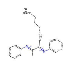 CCCCCCCCCCCCCC#CC(=N\c1ccccc1)/C(C)=N/c1ccccc1.[Ni]